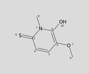 COc1ccc(=S)n(C)c1O